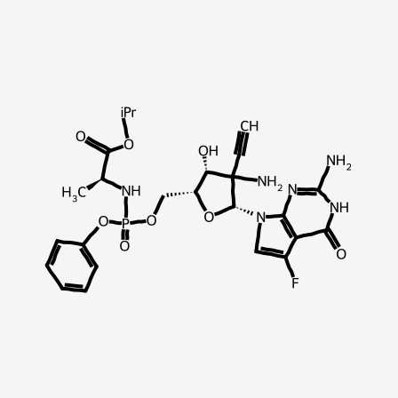 C#CC1(N)[C@@H](O)[C@@H](COP(=O)(N[C@@H](C)C(=O)OC(C)C)Oc2ccccc2)O[C@H]1n1cc(F)c2c(=O)[nH]c(N)nc21